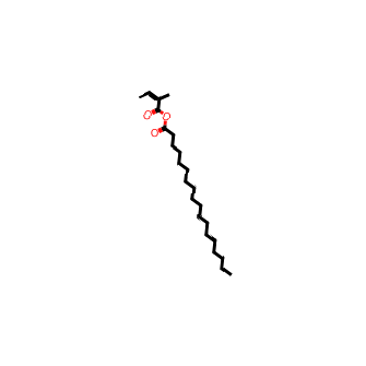 CC=C(C)C(=O)OC(=O)CCCCCCCCCCCCCCCCC